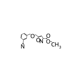 CCOC(=O)c1cc(COCc2cccc(C#N)c2)on1